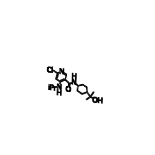 CC(C)Nc1cc(Cl)ncc1C(=O)NC1CCC(C(C)(C)O)CC1